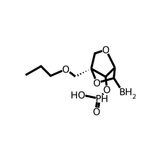 BC1O[C@@]2(COCCC)COC1C2O[PH](=O)O